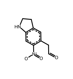 O=CCc1cc2c(cc1[N+](=O)[O-])NCC2